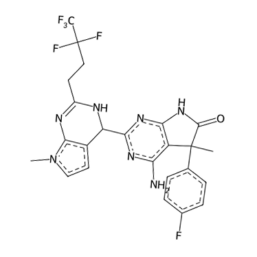 Cn1ccc2c1N=C(CCC(F)(F)C(F)(F)F)NC2c1nc(N)c2c(n1)NC(=O)C2(C)c1ccc(F)cc1